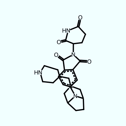 O=C1CCC(N2C(=O)c3ccc(N4C5CCC4CN(CC4CCNCC4)C5)cc3C2=O)C(=O)N1